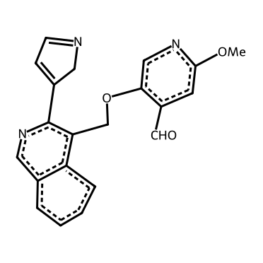 COc1cc(C=O)c(OCc2c(C3=CC=NC3)ncc3ccccc23)cn1